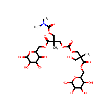 CN(C)C(=O)OCC(C)(COC(=O)OCC(C)(CO)C(=O)OCC1OC(O)C(O)C(O)C1O)C(=O)OCC1OC(O)C(O)C(O)C1O